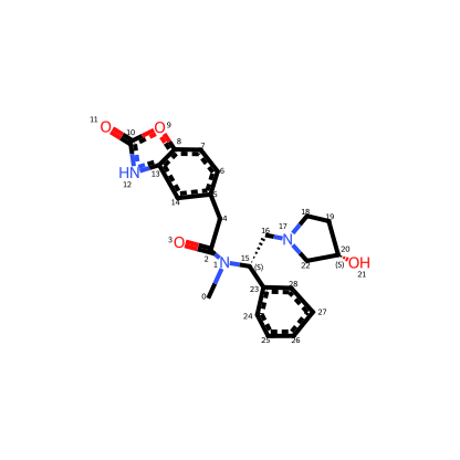 CN(C(=O)Cc1ccc2oc(=O)[nH]c2c1)[C@H](CN1CC[C@H](O)C1)c1ccccc1